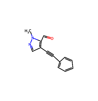 Cn1ncc(C#Cc2ccccc2)c1C=O